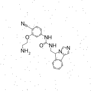 N#Cc1ccc(NC(=O)NCC2c3ccccc3-c3cncn32)cc1OCCN